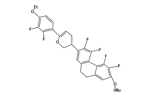 CCCCOc1cc2c(c(F)c1F)-c1c(cc(C3CC=C(c4ccc(OCC)c(F)c4F)OC3)c(F)c1F)CC2